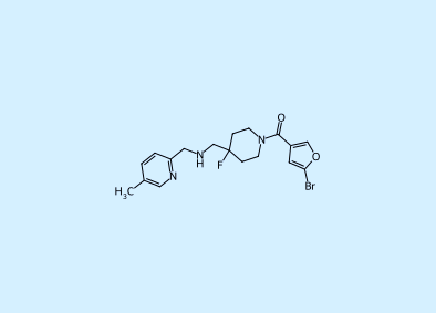 Cc1ccc(CNCC2(F)CCN(C(=O)c3coc(Br)c3)CC2)nc1